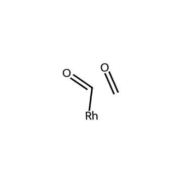 C=O.O=[CH][Rh]